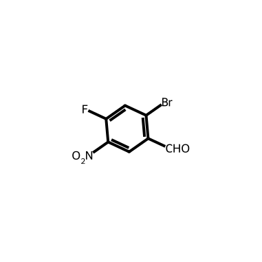 O=Cc1cc([N+](=O)[O-])c(F)cc1Br